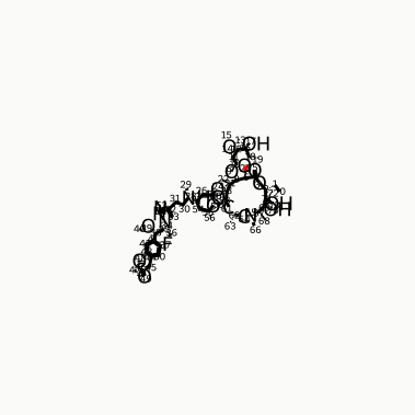 CC[C@H]1OC(=O)[C@H](C)[C@@H](O[C@H]2C[C@@](C)(OC)[C@@H](O)[C@H](C)O2)[C@H](C)[C@@H](O[C@H]2C[C@@H](N(C)CCc3cn([C@H](CF)[C@H](OC)c4ccc(CS(C)(=O)=O)cc4)nn3)C[C@@H](C)O2)[C@](C)(O)C[C@@H](C)CN(C)[C@H](C)[C@@H](O)[C@]1(C)O